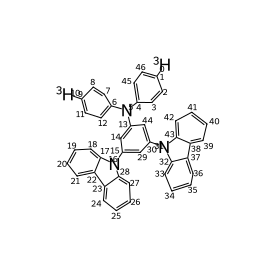 [3H]c1ccc(N(c2ccc([3H])cc2)c2cc(-n3c4ccccc4c4ccccc43)cc(-n3c4ccccc4c4ccccc43)c2)cc1